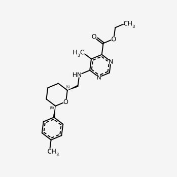 CCOC(=O)c1ncnc(NC[C@@H]2CCC[C@H](c3ccc(C)cc3)O2)c1C